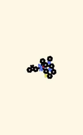 CC1(C)c2ccccc2-c2ccc(-c3nc(-c4ccccc4)nc(-c4cc(-n5c6ccccc6c6ccc7c(c8ccccc8n7-c7ccccc7)c65)c5c(c4)sc4ccccc45)n3)cc21